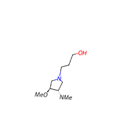 CN[C@H]1CN(CCCO)C[C@@H]1OC